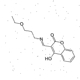 CCOCCC/N=C/c1c(O)c2ccccc2oc1=O